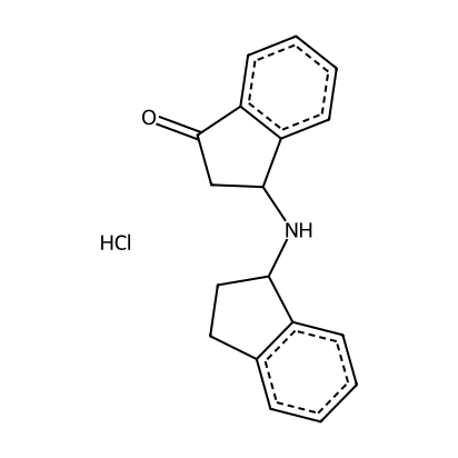 Cl.O=C1CC(NC2CCc3ccccc32)c2ccccc21